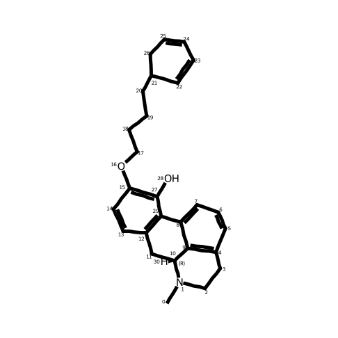 CN1CCc2cccc3c2[C@H]1Cc1ccc(OCCCCC2C=CC=CC2)c(O)c1-3